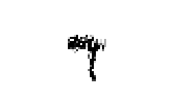 CC#CCCCCOCc1cn([C@H]2C[C@@H](OC(C)=O)[C@@H](CC)O2)c(=O)[nH]c1=O